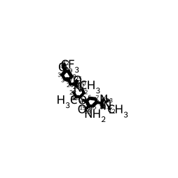 C[C@@H]1C[C@H](Oc2ccc(-c3cn(C)cn3)cc2C(N)=O)[C@@H](C)CN1C(=O)Cc1ccc(OC(F)(F)F)cc1